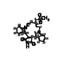 CS(=O)(=O)CC1CCn2cc(c3ccccc32)C2=C(C(=O)NC2=O)c2cn(c3ccccc23)CC1